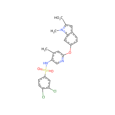 Cc1cc(Oc2ccc3cc(C(=O)O)n(C)c3c2)ncc1NS(=O)(=O)c1ccc(Cl)c(Cl)c1